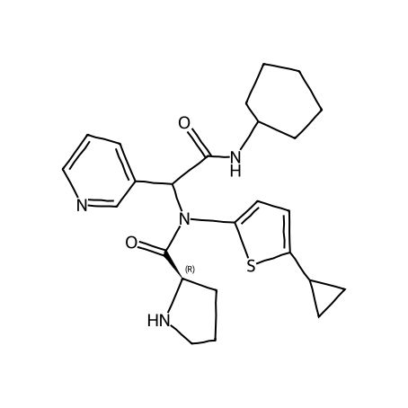 O=C(NC1CCCCC1)C(c1cccnc1)N(C(=O)[C@H]1CCCN1)c1ccc(C2CC2)s1